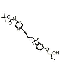 CCC(O)COc1ccc2nc(/C=C/C#Cc3cnc(N(C)C(=O)OC(C)(C)C)cn3)sc2c1